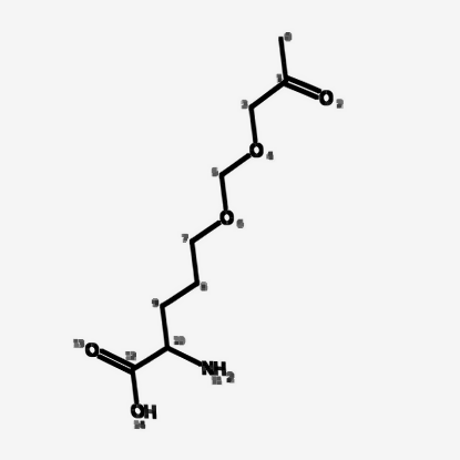 CC(=O)COCOCCCC(N)C(=O)O